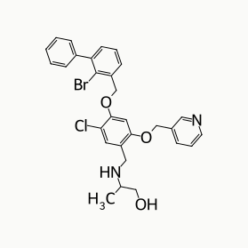 CC(CO)NCc1cc(Cl)c(OCc2cccc(-c3ccccc3)c2Br)cc1OCc1cccnc1